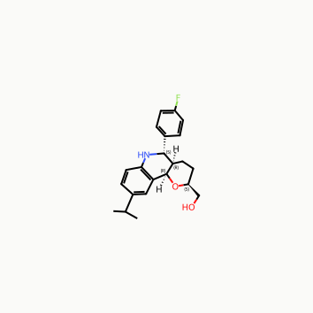 CC(C)c1ccc2c(c1)[C@@H]1O[C@H](CO)CC[C@@H]1[C@@H](c1ccc(F)cc1)N2